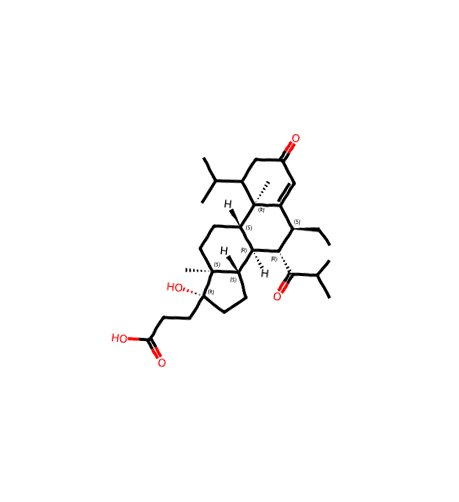 CC[C@@H]1C2=CC(=O)CC(C(C)C)[C@]2(C)[C@H]2CC[C@@]3(C)[C@@H](CC[C@@]3(O)CCC(=O)O)[C@@H]2[C@H]1C(=O)C(C)C